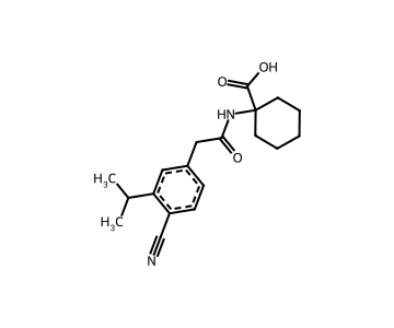 CC(C)c1cc(CC(=O)NC2(C(=O)O)CCCCC2)ccc1C#N